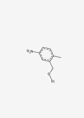 CCOCc1cc([N+](=O)[O-])ccc1C